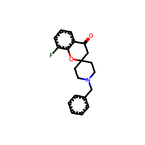 O=C1CC2(CCN(Cc3ccccc3)CC2)Oc2c(F)cccc21